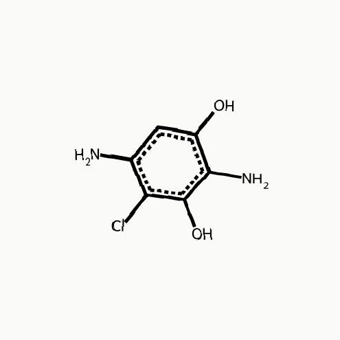 Nc1cc(O)c(N)c(O)c1Cl